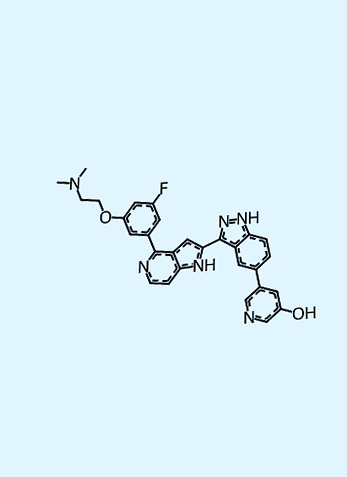 CN(C)CCOc1cc(F)cc(-c2nccc3[nH]c(-c4n[nH]c5ccc(-c6cncc(O)c6)cc45)cc23)c1